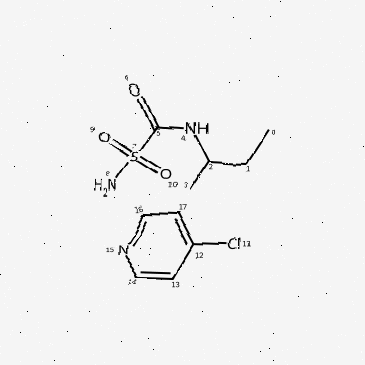 CCC(C)NC(=O)S(N)(=O)=O.Clc1ccncc1